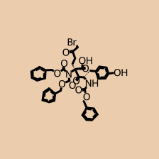 O=C(CBr)CC[C@](C(=O)O)(C(=O)[C@H](Cc1ccc(O)cc1)NC(=O)OCc1ccccc1)N(C(=O)OCc1ccccc1)C(=O)OCc1ccccc1